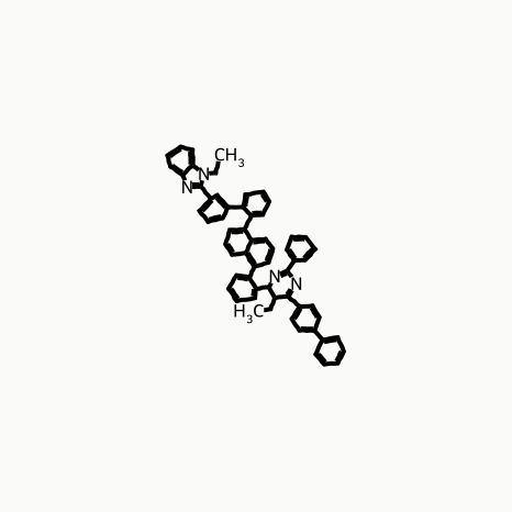 CCC1C(c2ccc(-c3ccccc3)cc2)=NC(c2ccccc2)=NC1c1ccccc1-c1cccc2c(-c3ccccc3-c3cccc(-c4nc5ccccc5n4CC)c3)cccc12